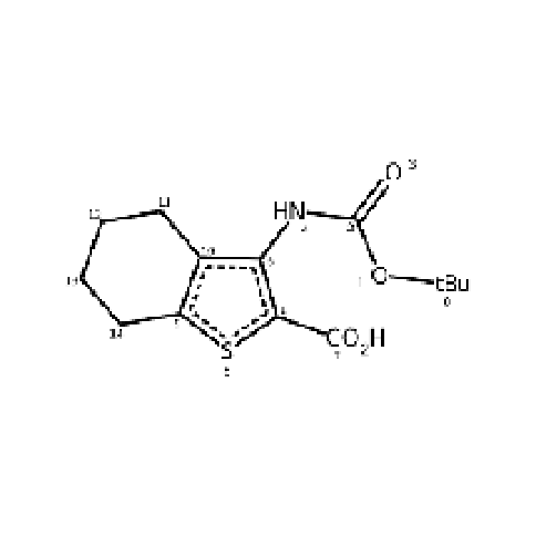 CC(C)(C)OC(=O)Nc1c(C(=O)O)sc2c1CCCC2